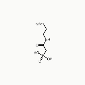 CCCCCCCCNC(=O)CP(=O)(O)O